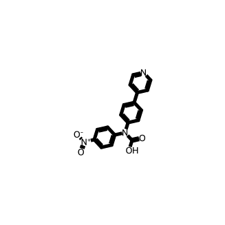 O=C(O)N(c1ccc(-c2ccncc2)cc1)c1ccc([N+](=O)[O-])cc1